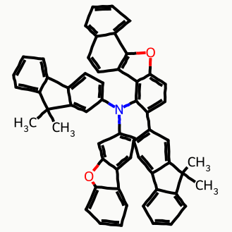 CC1(C)c2ccccc2-c2ccc(-c3ccc4oc5c6ccccc6ccc5c4c3N(c3ccc4c(c3)C(C)(C)c3ccccc3-4)c3ccc4c(c3)oc3ccccc34)cc21